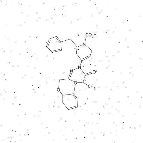 CC1C(=O)N(C2=CCN(C(=O)O)C(Cc3ccccc3)C2)N=C2COc3ccccc3N21